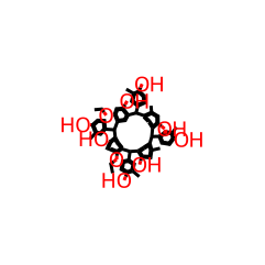 CCOc1cc(O)c2cc1C(c1ccc(O)c(C)c1)c1cc(c(OCC)cc1O)C(c1ccc(O)c(C)c1)c1cc(c(C)cc1O)C(c1ccc(O)c(C)c1)c1cc(c(C)cc1O)C2c1ccc(O)c(C)c1